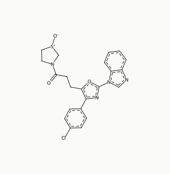 O=C(CCc1oc(-n2cnc3ccccc32)nc1-c1ccc(Cl)cc1)N1CC[S+]([O-])C1